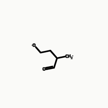 [CH2]C(C=O)CC[O]